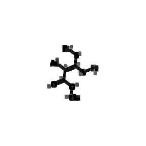 CCSC(SCC)=C(C(C)=O)C(=O)OC(C)(C)C